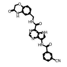 N#Cc1cccc(C(=O)Nc2c[nH]c3c(C(=O)NCc4ccc5c(c4)NC(=O)CO5)ncnc23)c1